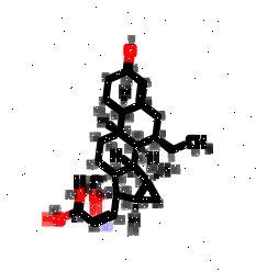 CC[C@@H]1CC2=CC(=O)CC[C@@H]2[C@H]2CC[C@@]3(C)[C@@H]([C@H]4C[C@H]4[C@@]3(O)/C=C\C(=O)O)[C@H]12